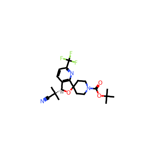 CC(C)(C)OC(=O)N1CCC2(CC1)O[C@H](C(C)(C)C#N)c1ccc(C(F)(F)F)nc12